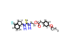 COc1ccc(CC(=O)OCCNC(=S)NC2CCc3c(F)cccc32)cc1